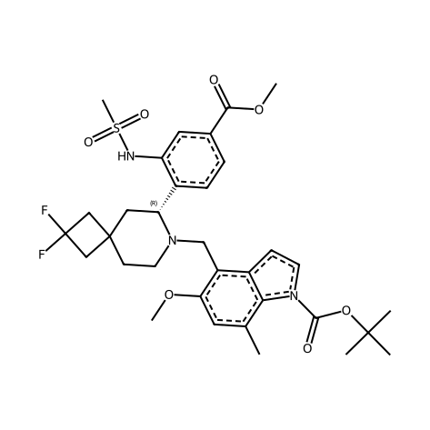 COC(=O)c1ccc([C@H]2CC3(CCN2Cc2c(OC)cc(C)c4c2ccn4C(=O)OC(C)(C)C)CC(F)(F)C3)c(NS(C)(=O)=O)c1